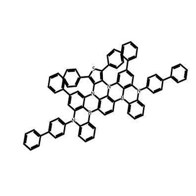 c1ccc(-c2ccc(N3c4ccccc4B4c5ccc6c7c5N(c5cc(-c8ccccc8)cc3c54)c3c(-c4ccccc4)sc(-c4ccccc4)c3N7c3cc(-c4ccccc4)cc4c3B6c3ccccc3N4c3ccc(-c4ccccc4)cc3)cc2)cc1